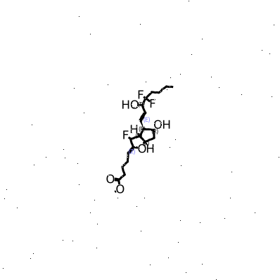 CCCCC(F)(F)[C@H](O)/C=C/[C@@H]1[C@H]2C(F)/C(=C/CCCC(=O)OC)O[C@H]2C[C@H]1O